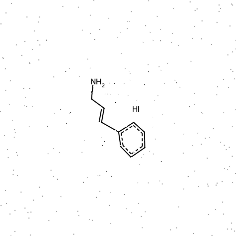 I.NCC=Cc1ccccc1